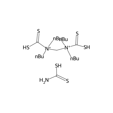 CCCC[N+](CCCC)(C[N+](CCCC)(CCCC)C(=S)S)C(=S)S.NC(=S)S